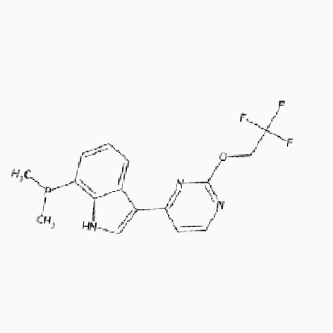 CP(C)c1cccc2c(-c3ccnc(OCC(F)(F)F)n3)c[nH]c12